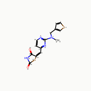 CN(Cc1ccsc1)c1nccc(C=C2SC(=O)NC2=O)n1